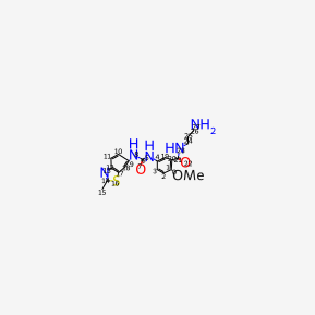 COc1ccc(NC(=O)Nc2ccc3nc(C)sc3c2)cc1C(=O)NCCCN